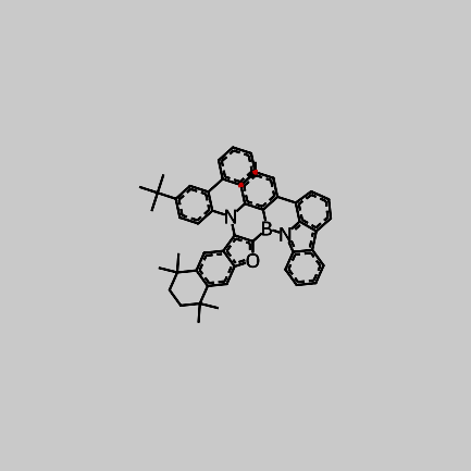 Cc1cc2c3c(c1)N(c1ccc(C(C)(C)C)cc1-c1ccccc1)c1c(oc4cc5c(cc14)C(C)(C)CCC5(C)C)B3n1c3ccccc3c3cccc-2c31